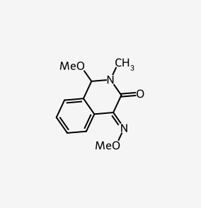 CO/N=C1/C(=O)N(C)C(OC)c2ccccc21